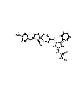 COc1ccc(CN2CCC3(CCN(C[C@H]4CN(OC(=O)OC(C)C)C[C@@H]4c4ccccc4)CC3)C2=O)cc1